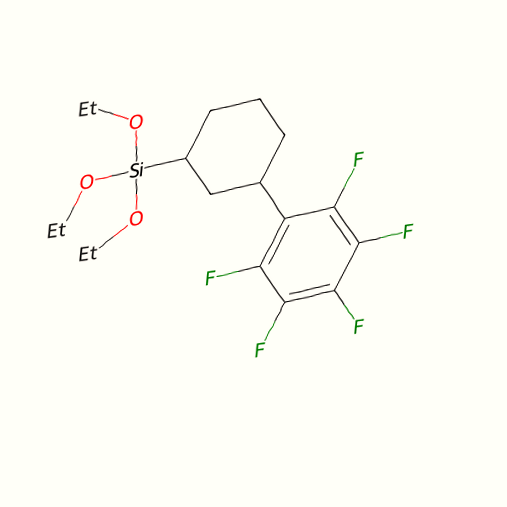 CCO[Si](OCC)(OCC)C1CCCC(c2c(F)c(F)c(F)c(F)c2F)C1